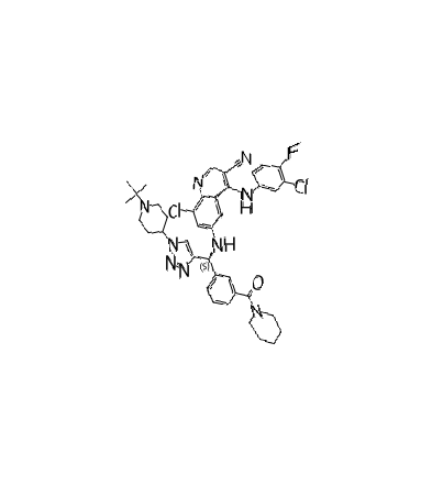 CC(C)(C)N1CCC(n2cc([C@@H](Nc3cc(Cl)c4ncc(C#N)c(Nc5ccc(F)c(Cl)c5)c4c3)c3cccc(C(=O)N4CCCCC4)c3)nn2)CC1